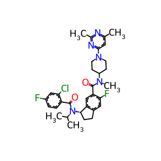 Cc1cc(N2CCC(N(C)C(=O)c3cc4c(cc3F)CC[C@H]4N(C(=O)c3ccc(F)cc3Cl)C(C)C)CC2)nc(C)n1